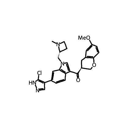 COc1ccc2c(c1)C[C@H](C(=O)c1cn(C[C@H]3CCN3C)c3cc(-c4cn[nH]c4Cl)ccc13)CO2